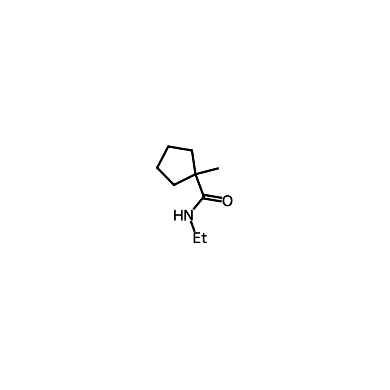 CCNC(=O)C1(C)CCCC1